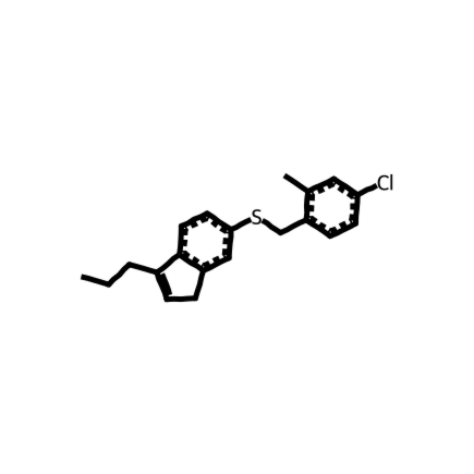 CCCC1=CCc2cc(SCc3ccc(Cl)cc3C)ccc21